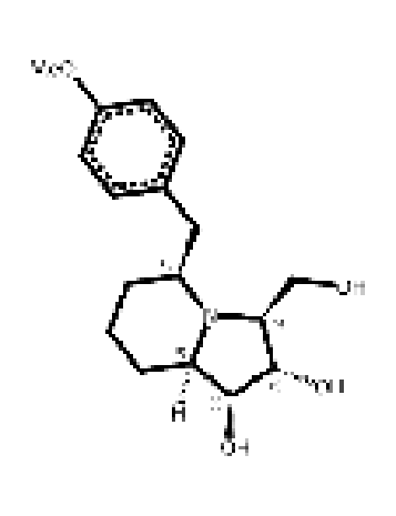 COc1ccc(C[C@@H]2CCC[C@@H]3[C@H](O)[C@@H](O)[C@H](CO)N23)cc1